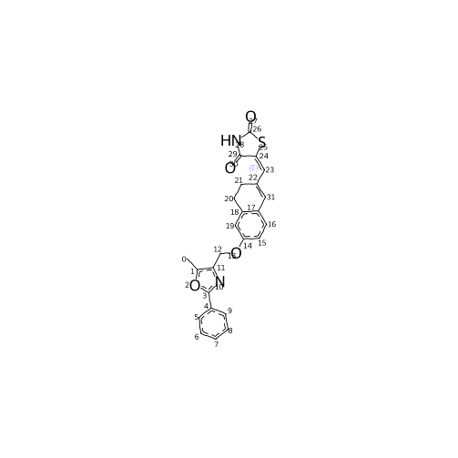 Cc1oc(-c2ccccc2)nc1COc1ccc2c(c1)CCC(/C=C1/SC(=O)NC1=O)=C2